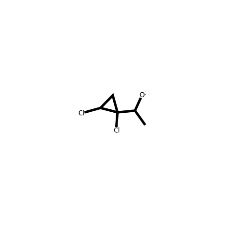 CC([O])C1(Cl)CC1Cl